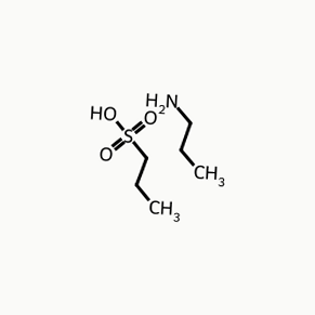 CCCN.CCCS(=O)(=O)O